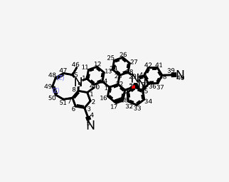 CC1CC(C#N)=CC2=C1N(c1cccc(-c3cc#cc(C#N)c3-c3ccccc3-n3c4ccccc4c4cc(C#N)ccc43)c1)C(C)/C=C\C=C/C2